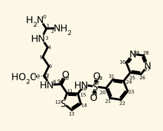 NC(N)NCCC[C@H](NC(=O)c1sccc1NS(=O)(=O)c1cccc(-c2cncnc2)c1)C(=O)O